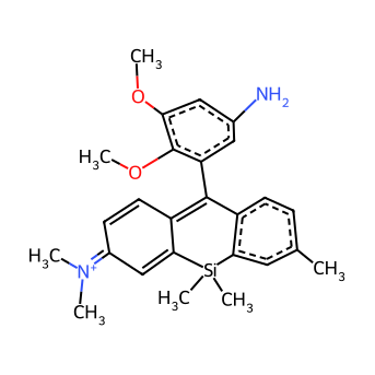 COc1cc(N)cc(C2=C3C=CC(=[N+](C)C)C=C3[Si](C)(C)c3cc(C)ccc32)c1OC